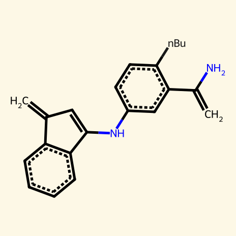 C=C(N)c1cc(NC2=CC(=C)c3ccccc32)ccc1CCCC